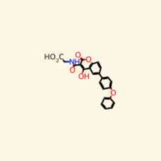 O=C(O)CNC(=O)c1c(O)c2cc(-c3ccc(Oc4ccccc4)cc3)ccc2oc1=O